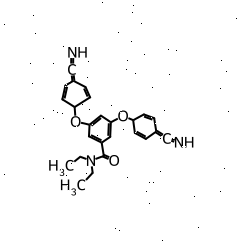 CCN(CC)C(=O)c1cc(OC2C=CC(=C=N)C=C2)cc(OC2C=CC(=C=N)C=C2)c1